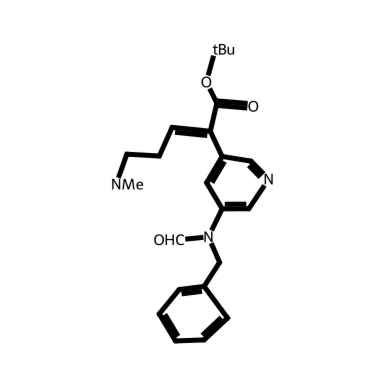 CNCC/C=C(/C(=O)OC(C)(C)C)c1cncc(N(C=O)Cc2ccccc2)c1